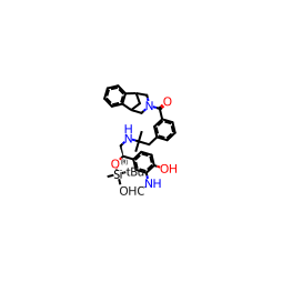 CC(C)(Cc1cccc(C(=O)N2CC3CC(C2)c2ccccc23)c1)NC[C@H](O[Si](C)(C)C(C)(C)C)c1ccc(O)c(NC=O)c1